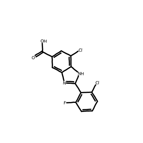 O=C(O)c1cc(Cl)c2[nH]c(-c3c(F)cccc3Cl)nc2c1